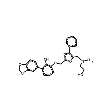 Cc1c(OCc2nc(-c3ccccc3)c(CN(C)CCO)o2)cccc1-c1ccc2c(c1)OCO2